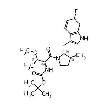 CO[C@H](C)[C@H](NC(=O)OC(C)(C)C)C(=O)N1CC[C@H](C)[C@H]1Cc1c[nH]c2c1C=CC(F)C2